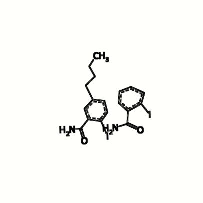 CCCCc1ccc(I)c(C(N)=O)c1.NC(=O)c1ccccc1I